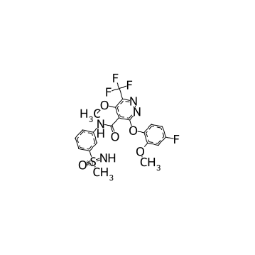 COc1cc(F)ccc1Oc1nnc(C(F)(F)F)c(OC)c1C(=O)Nc1cccc([S@@](C)(=N)=O)c1